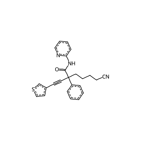 N#CCCCCC(C#Cc1ccsc1)(C(=O)Nc1ccccn1)c1ccccc1